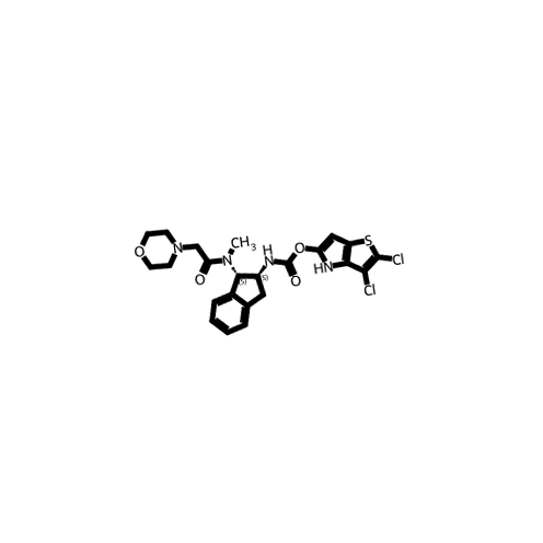 CN(C(=O)CN1CCOCC1)[C@H]1c2ccccc2C[C@@H]1NC(=O)Oc1cc2sc(Cl)c(Cl)c2[nH]1